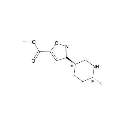 COC(=O)c1cc([C@@H]2CC[C@@H](C)NC2)no1